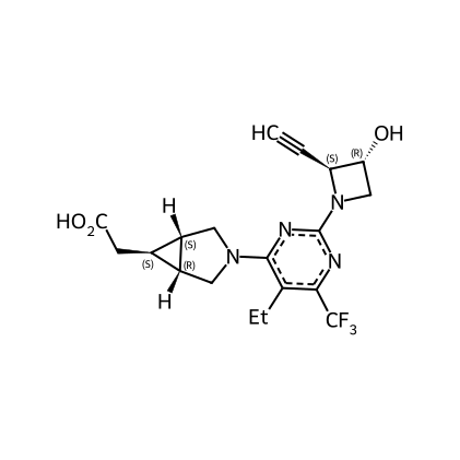 C#C[C@H]1[C@H](O)CN1c1nc(N2C[C@@H]3[C@@H](CC(=O)O)[C@@H]3C2)c(CC)c(C(F)(F)F)n1